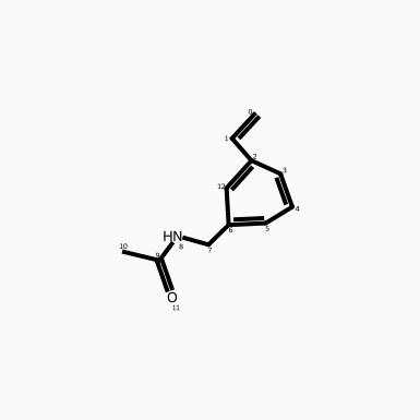 C=Cc1cccc(CNC(C)=O)c1